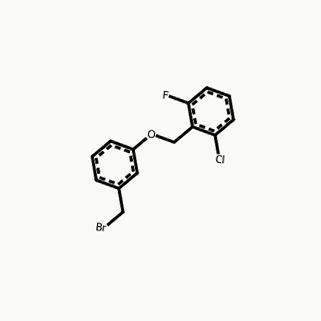 Fc1cccc(Cl)c1COc1cccc(CBr)c1